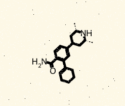 C[C@@H]1CC(c2ccc(C(N)=O)c(C3=CCCCC3)c2)C[C@H](C)N1